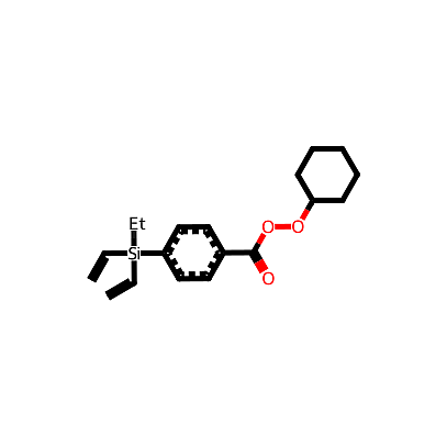 C=C[Si](C=C)(CC)c1ccc(C(=O)OO[C]2CCCCC2)cc1